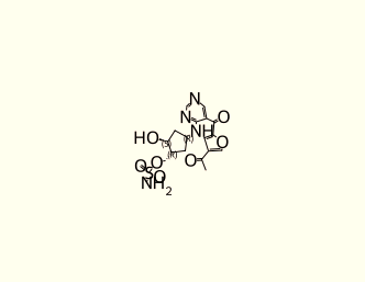 CC(=O)c1coc(C(=O)c2cncnc2N[C@@H]2C[C@H](COS(N)(=O)=O)[C@@H](O)C2)c1